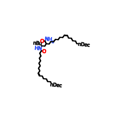 CCCCCCCCCCCCCCC/C=C\CCCCCCCCC(=O)NC(CCCC)CC(CCCCCCC/C=C\CCCCCCCCCCCCCCC)C(N)=O